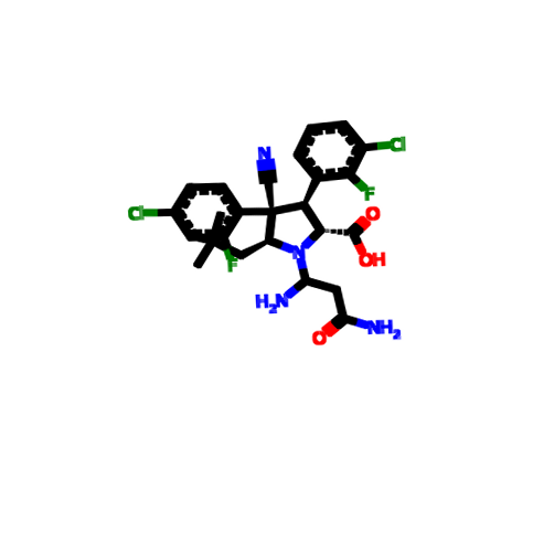 CC(C)(C)C[C@@H]1N(C(N)CC(N)=O)[C@@H](C(=O)O)[C@H](c2cccc(Cl)c2F)[C@@]1(C#N)c1ccc(Cl)cc1F